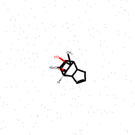 COC1=CC2C3CC=CC3[C@@H]1C(=O)C2(C)O